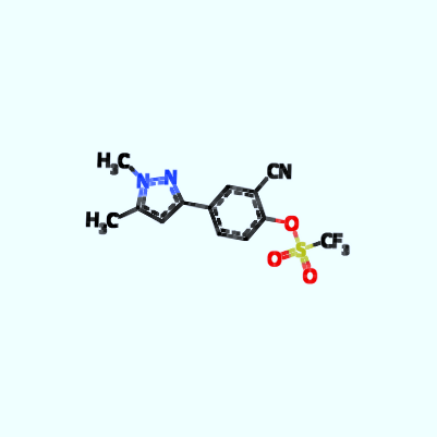 Cc1cc(-c2ccc(OS(=O)(=O)C(F)(F)F)c(C#N)c2)nn1C